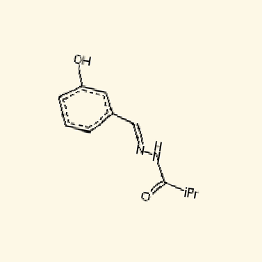 CC(C)C(=O)N/N=C/c1cccc(O)c1